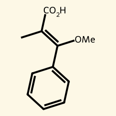 COC(=C(C)C(=O)O)c1ccccc1